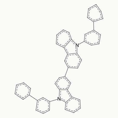 c1ccc(-c2cccc(-n3c4ccccc4c4cc(-c5ccc6c(c5)c5ccccc5n6-c5cccc(-c6ccccc6)c5)ccc43)c2)cc1